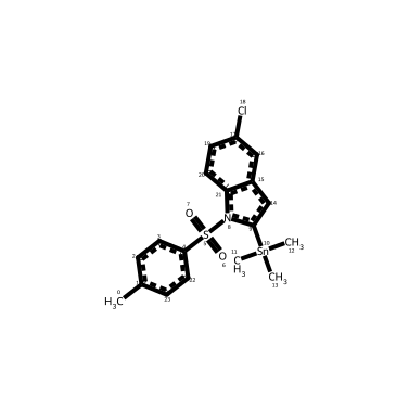 Cc1ccc(S(=O)(=O)n2[c]([Sn]([CH3])([CH3])[CH3])cc3cc(Cl)ccc32)cc1